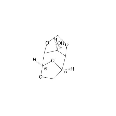 O[C@@H]1C2OCOC1[C@H]1CO[C@@H]2O1